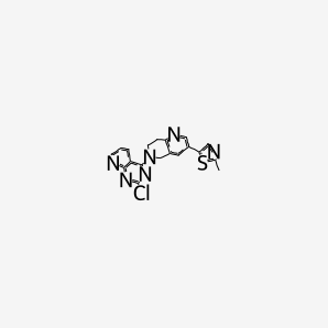 Cc1ncc(-c2cnc3c(c2)CN(c2nc(Cl)nc4ncccc24)CC3)s1